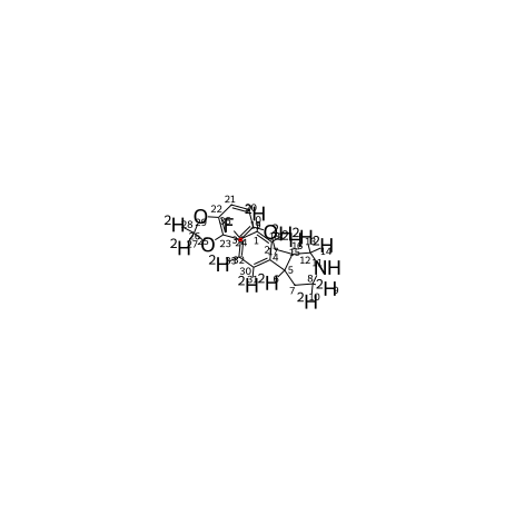 [2H]c1c([2H])c(C2([2H])CC([2H])([2H])NC([2H])([2H])[C@]2([2H])COc2ccc3c(c2)OC([2H])([2H])O3)c([2H])c([2H])c1F